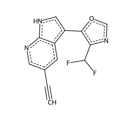 C#Cc1cnc2[nH]cc(-c3ocnc3C(F)F)c2c1